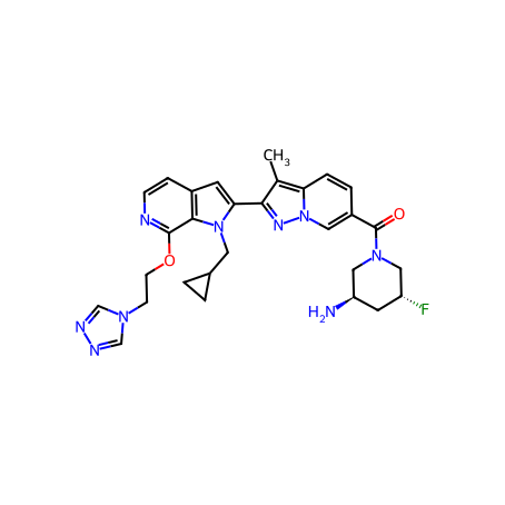 Cc1c(-c2cc3ccnc(OCCn4cnnc4)c3n2CC2CC2)nn2cc(C(=O)N3C[C@H](N)C[C@@H](F)C3)ccc12